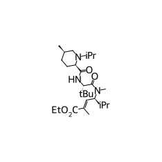 CCOC(=O)/C(C)=C/[C@H](C(C)C)N(C)C(=O)[C@@H](NC(=O)[C@H]1CC[C@@H](C)CN1C(C)C)C(C)(C)C